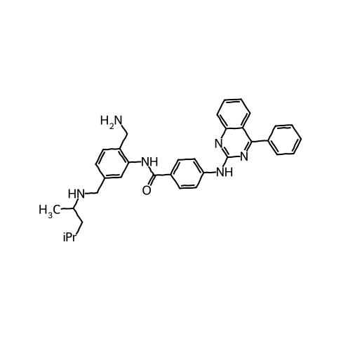 CC(C)CC(C)NCc1ccc(CN)c(NC(=O)c2ccc(Nc3nc(-c4ccccc4)c4ccccc4n3)cc2)c1